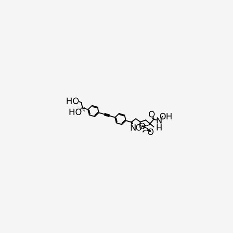 CC(CC1CC(c2ccc(C#Cc3ccc([C@@H](O)CO)cc3)cc2)=NO1)(C(=O)NO)S(C)(=O)=O